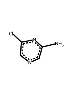 Nc1cn[c]c(Cl)n1